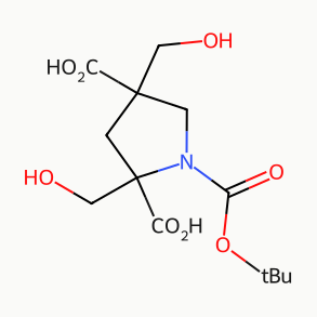 CC(C)(C)OC(=O)N1CC(CO)(C(=O)O)CC1(CO)C(=O)O